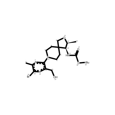 Cc1nc(N2CCC3(CC2)CO[C@@H](C)[C@H]3NC(=O)OC(C)(C)C)c(CO)nc1Br